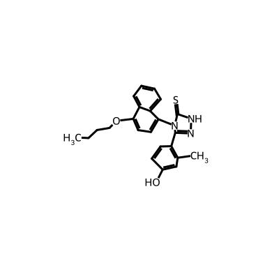 CCCCOc1ccc(-n2c(-c3ccc(O)cc3C)n[nH]c2=S)c2ccccc12